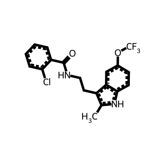 Cc1[nH]c2ccc(OC(F)(F)F)cc2c1CCNC(=O)c1ccccc1Cl